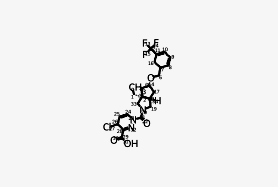 CC[C@]12C[C@H](OCC3C=CC=C(C(F)(F)F)C3)C[C@H]1CN(C(=O)N1C=CC(Cl)C(C(=O)O)=N1)C2